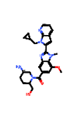 COc1cc(C(=O)N2C[C@H](N)CCC2CO)cc2nc(-c3cc4cccnc4n3CC3CC3)n(C)c12